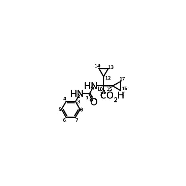 O=C(Nc1ccccc1)NC(C(=O)O)(C1CC1)C1CC1